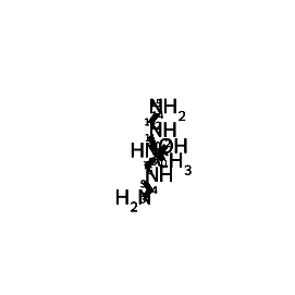 CCO.NCCNCCNCCNCCN